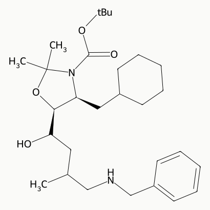 CC(CNCc1ccccc1)CC(O)[C@H]1OC(C)(C)N(C(=O)OC(C)(C)C)[C@H]1CC1CCCCC1